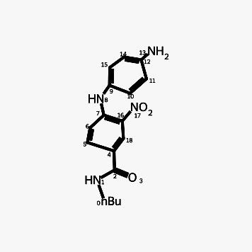 CCCCNC(=O)c1ccc(Nc2ccc(N)cc2)c([N+](=O)[O-])c1